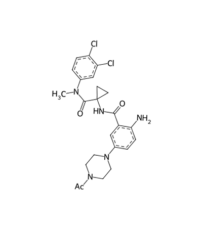 CC(=O)N1CCN(c2ccc(N)c(C(=O)NC3(C(=O)N(C)c4ccc(Cl)c(Cl)c4)CC3)c2)CC1